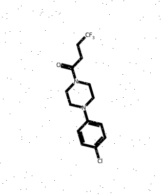 O=C(CCC(F)(F)F)N1CCN(c2ccc(Cl)cc2)CC1